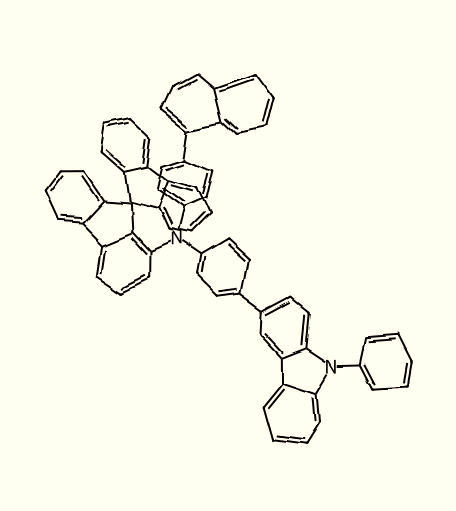 c1ccc(-n2c3ccccc3c3cc(-c4ccc(N(c5ccc(-c6cccc7ccccc67)cc5)c5cccc6c5C5(c7ccccc7-c7ccccc75)c5ccccc5-6)cc4)ccc32)cc1